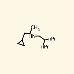 CCCC(CCC)CNC(C)CC1CC1